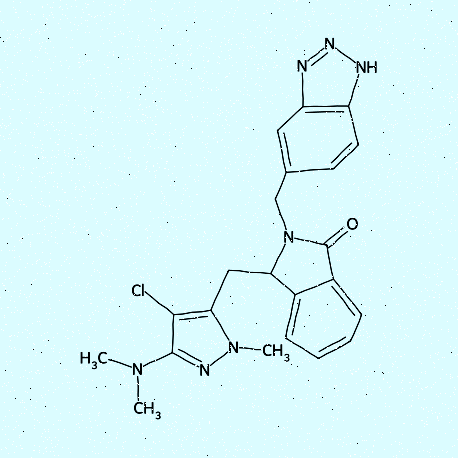 CN(C)c1nn(C)c(CC2c3ccccc3C(=O)N2Cc2ccc3[nH]nnc3c2)c1Cl